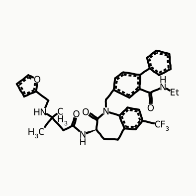 CCNC(=O)c1cc(CN2C(=O)[C@H](NC(=O)CC(C)(C)NCc3ccco3)CCc3cc(C(F)(F)F)ccc32)ccc1-c1ccccc1